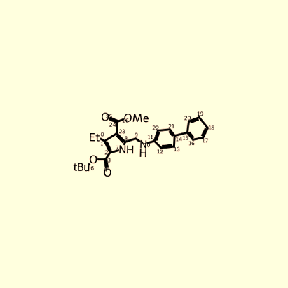 CCc1c(C(=O)OC(C)(C)C)[nH]c(CNc2ccc(-c3ccccc3)cc2)c1C(=O)OC